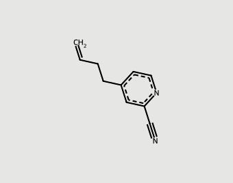 C=CCCc1ccnc(C#N)c1